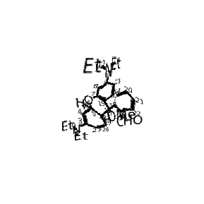 CCN(CC)C1=C[C@@H]2Oc3cc(N(CC)CC)ccc3[C@@](OC)([C@@H]3C=CC=C[C@@H]3C=O)[C@@H]2C=C1